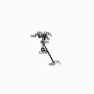 CCCCC(C)CCCCCCCCCCCCCC[C@H](COP(=O)(O)OC[C@@]1(C#N)O[C@@H](c2ccc(/C(N)=N\C=N)[nH]2)[C@@H]2OC(C)(C)O[C@@H]21)Oc1ccc(C#N)c(OC(C)C)c1